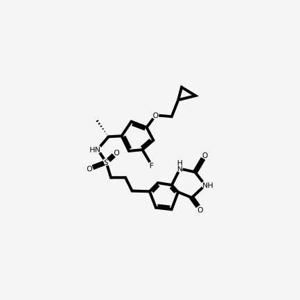 C[C@@H](NS(=O)(=O)CCCc1ccc2c(=O)[nH]c(=O)[nH]c2c1)c1cc(F)cc(OCC2CC2)c1